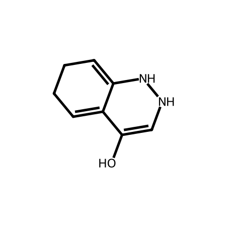 OC1=CNNC2=CCCC=C12